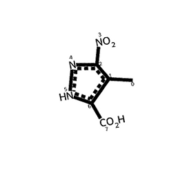 Cc1c([N+](=O)[O-])n[nH]c1C(=O)O